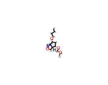 CCCCO[C@@H]1C[C@H](OCOC)[C@H]2CON=C12